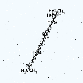 CC(C)N[C@@H](CCC(=O)NCCOCCOCC(=O)NCCOCCOCC(=O)NCCOCCOCC(=O)C(C)C)C(=O)O